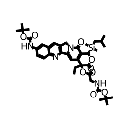 CCC1(OC(=O)CNC(=O)OC(C)(C)C)C(=O)OC([Si](C)(C)CC(C)C)c2c1cc1n(c2=O)Cc2cc3cc(NC(=O)OC(C)(C)C)ccc3nc2-1